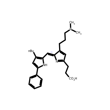 CCCCc1cc(-c2ccccc2)[nH]c1/C=C1\N=C(CCC(=O)O)C=C1CCCN(C)C